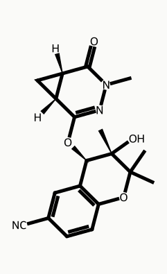 CN1N=C(O[C@@H]2c3cc(C#N)ccc3OC(C)(C)[C@@]2(C)O)[C@@H]2C[C@@H]2C1=O